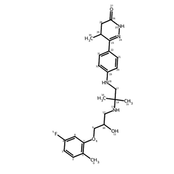 Cc1ccc(F)cc1OCC(O)CNC(C)(C)CNc1ccc(C2=NNC(=O)CC2C)cc1